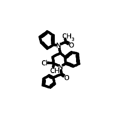 CC(=O)N(c1ccccc1)C1CC(C)(Cl)N(C(=O)c2ccccc2)c2ccccc21